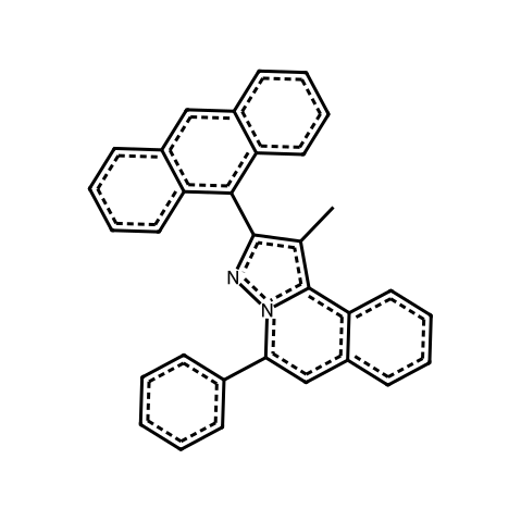 Cc1c(-c2c3ccccc3cc3ccccc23)nn2c(-c3ccccc3)cc3ccccc3c12